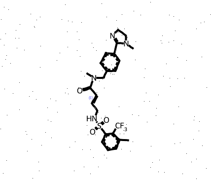 Cc1cccc(S(=O)(=O)NC/C=C/C(=O)N(C)Cc2ccc(C3=NCCN3C)cc2)c1C(F)(F)F